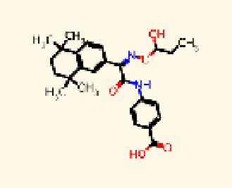 CCC(O)ON=C(C(=O)Nc1ccc(C(=O)O)cc1)c1ccc2c(c1)C(C)(C)CCC2(C)C